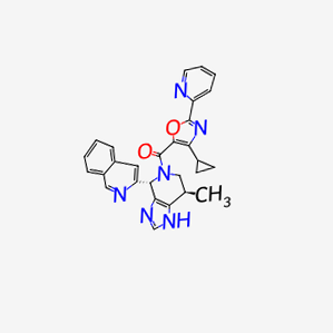 C[C@@H]1CN(C(=O)c2oc(-c3ccccn3)nc2C2CC2)[C@@H](c2cc3ccccc3cn2)c2nc[nH]c21